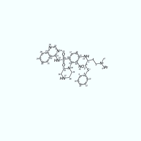 CC(C)N(C)CCC(CSc1ccccc1)Nc1ccc(S(=O)(=O)Nc2ncnc3ccccc23)c(N2CCNCC2)c1[N+](=O)[O-]